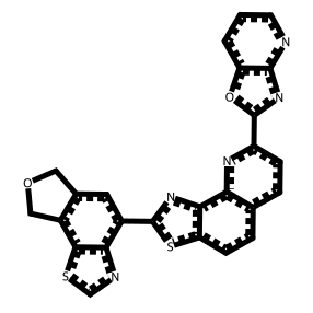 [c]1nc2c(-c3nc4c(ccc5ccc(-c6nc7ncccc7o6)nc54)s3)cc3c(c2s1)COC3